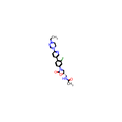 CCN1CCN(c2ccc(-c3ccc(N4C[C@H](CNC(C)=O)OC4=O)cc3F)cn2)C=N1